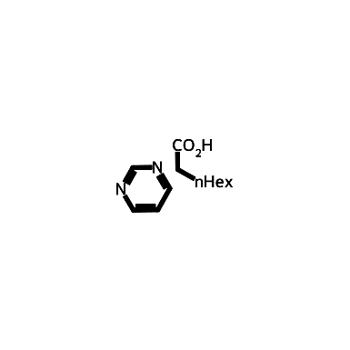 CCCCCCCC(=O)O.c1cncnc1